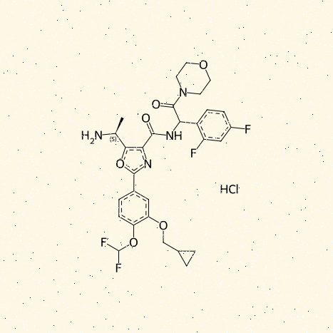 C[C@H](N)c1oc(-c2ccc(OC(F)F)c(OCC3CC3)c2)nc1C(=O)NC(C(=O)N1CCOCC1)c1ccc(F)cc1F.Cl